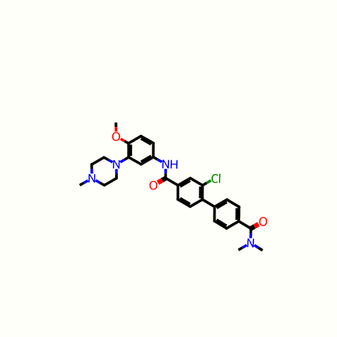 COc1ccc(NC(=O)c2ccc(-c3ccc(C(=O)N(C)C)cc3)c(Cl)c2)cc1N1CCN(C)CC1